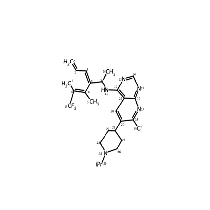 C=C/C=C(\C(C)=C(/C)C(F)(F)F)[C@@H](C)Nc1ncnc2nc(Cl)c(C3CCN(C(C)C)CC3)cc12